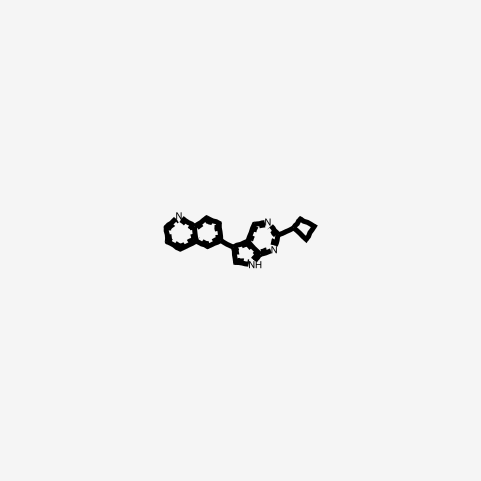 c1cnc2ccc(-c3c[nH]c4nc(C5CCC5)ncc34)cc2c1